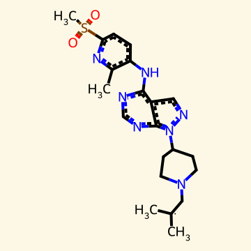 C[C](C)CN1CCC(n2ncc3c(Nc4ccc(S(C)(=O)=O)nc4C)ncnc32)CC1